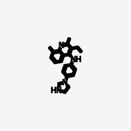 CCc1c(C)nc2c(C)cccc2c1Nc1ccc(N2CCNC2)cc1